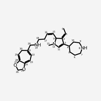 C/C=C1/C(C2CCCNCC2)=CN(C)C1/C=C\CCNCC1=CC=C2OCOC2=CC1